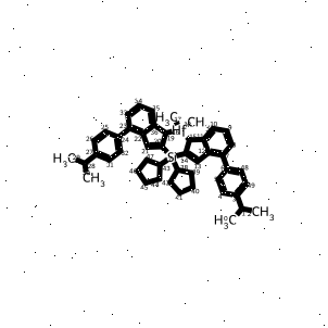 CC(C)c1ccc(-c2cccc3c2C=C2[CH]3[Hf]([CH3])([CH3])[CH]3C(=Cc4c(-c5ccc(C(C)C)cc5)cccc43)[Si]2(C2CCCC2)C2CCCC2)cc1